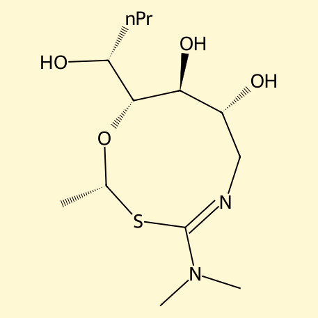 CCC[C@@H](O)[C@H]1O[C@@H](C)S/C(N(C)C)=N\C[C@@H](O)[C@@H]1O